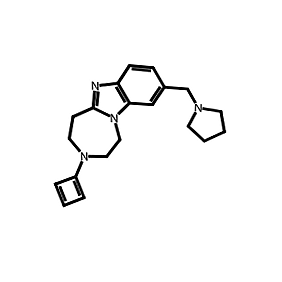 C1=CC(N2CCc3nc4ccc(CN5CCCC5)cc4n3CC2)=C1